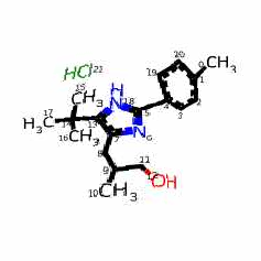 Cc1ccc(-c2nc(CC(C)CO)c(C(C)(C)C)[nH]2)cc1.Cl